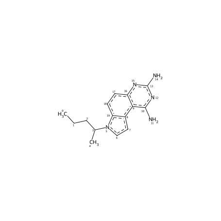 CCCC(C)n1ccc2c3c(N)nc(N)nc3ccc21